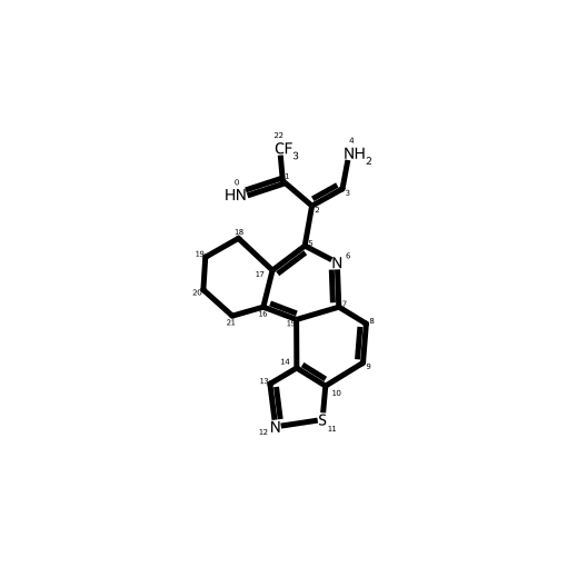 N=C(/C(=C\N)c1nc2ccc3sncc3c2c2c1CCCC2)C(F)(F)F